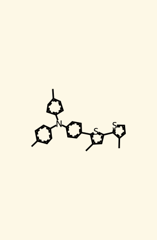 Cc1ccc(N(c2ccc(C)cc2)c2ccc(-c3sc(-c4sccc4C)cc3C)cc2)cc1